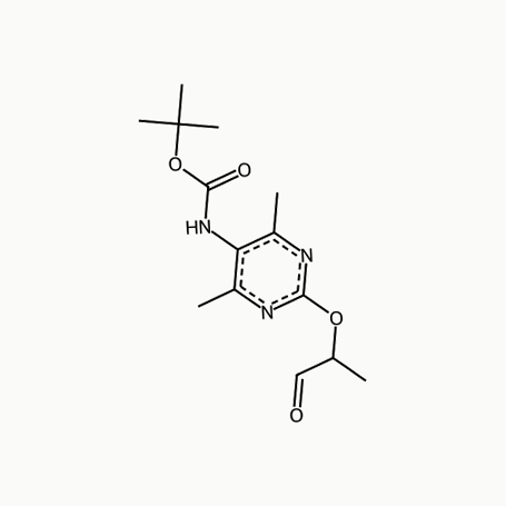 Cc1nc(OC(C)C=O)nc(C)c1NC(=O)OC(C)(C)C